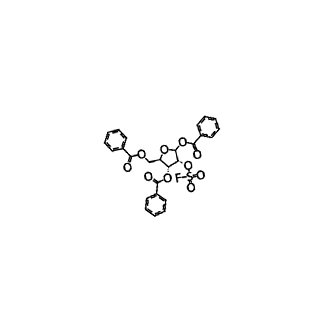 O=C(OC[C@H]1OC(OC(=O)c2ccccc2)[C@H](OS(=O)(=O)F)[C@@H]1OC(=O)c1ccccc1)c1ccccc1